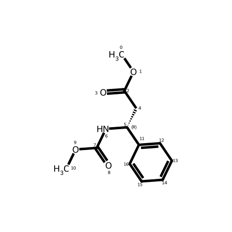 COC(=O)C[C@@H](NC(=O)OC)c1ccccc1